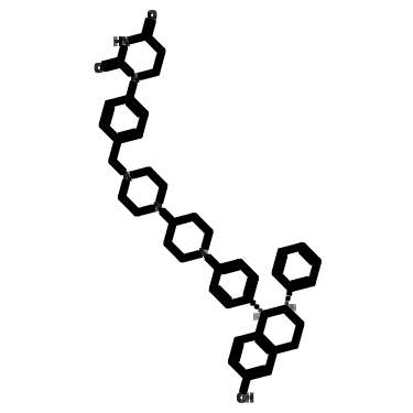 O=C1CCN(c2ccc(CN3CCN(C4CCN(c5ccc([C@H]6c7ccc(O)cc7CC[C@H]6c6ccccc6)cc5)CC4)CC3)cc2)C(=O)N1